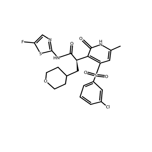 Cc1cc(S(=O)(=O)c2cccc(Cl)c2)c([C@@H](CC2CCOCC2)C(=O)Nc2ncc(F)s2)c(=O)[nH]1